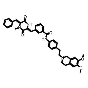 COc1cc2c(cc1OC)CN(CCc1ccc(NC(=O)c3cccc(C=c4[nH]c(=O)/c(=C/c5ccccc5)n(C)c4=O)c3)cc1)CC2